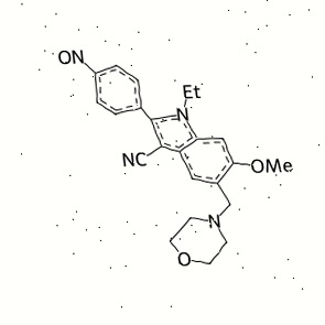 CCn1c(-c2ccc(N=O)cc2)c(C#N)c2cc(CN3CCOCC3)c(OC)cc21